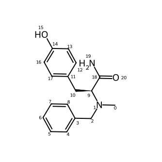 CN(Cc1ccccc1)[C@@H](Cc1ccc(O)cc1)C(N)=O